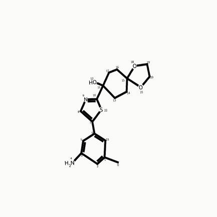 Cc1cc(N)cc(-c2cnc(C3(O)CCC4(CC3)OCCO4)s2)c1